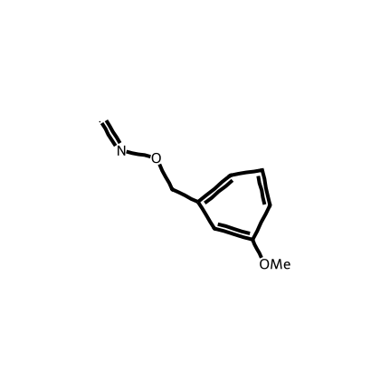 [CH]=NOCc1cccc(OC)c1